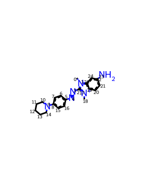 Cn1c(/N=N/c2ccc(N3CCCCC3)cc2)[n+](C)c2ccc(N)cc21